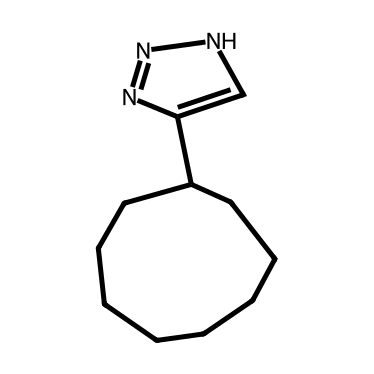 c1[nH]nnc1C1CCCCCCCC1